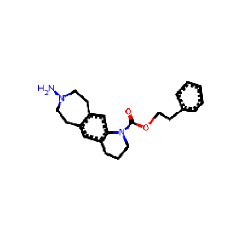 NN1CCc2cc3c(cc2CC1)N(C(=O)OCCc1ccccc1)CCC3